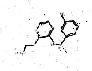 CCOC(=O)CSc1nccnc1N[C@@H](C)c1cccc(C(F)(F)F)c1